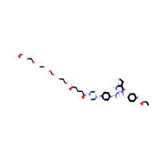 C=CC(=O)Nc1cccc(Oc2nc(Nc3ccc(N4CCN(C(=O)CCCC(=O)NCCCOCCOCCOCCCNC(=O)CCCC)CC4)c(F)c3)nc3[nH]ccc23)c1